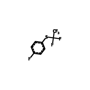 Fc1ccc(SC(F)(F)C(F)(F)F)cc1